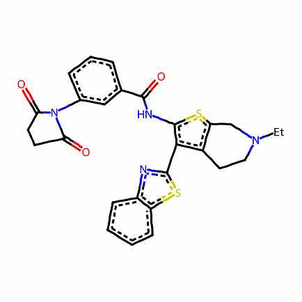 CCN1CCc2c(sc(NC(=O)c3cccc(N4C(=O)CCC4=O)c3)c2-c2nc3ccccc3s2)C1